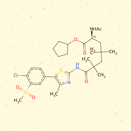 CC(=O)N[C@@H](CC(C)(C)CC(C)(C)C(=O)Nc1nc(C)c(-c2ccc(Cl)c(S(C)(=O)=O)c2)s1)C(=O)OC1CCCC1